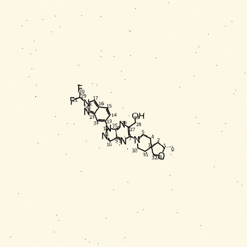 C[C@H]1CC2(CCN(c3nc4cnn(-c5ccc6cn(C(F)F)nc6c5)c4nc3CO)CC2)CO1